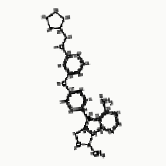 CC1OCc2c1c1ncnc(N)c1n2-c1ccc(Oc2cccc(OCC3CCCC3)c2)cc1